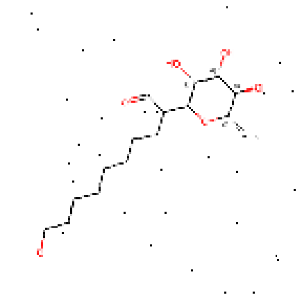 C[C@@H]1OC(C([C]=O)CCCCCCCCO)[C@H](O)[C@H](O)[C@H]1O